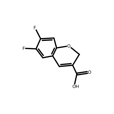 O=C(O)C1=Cc2cc(F)c(F)cc2OC1